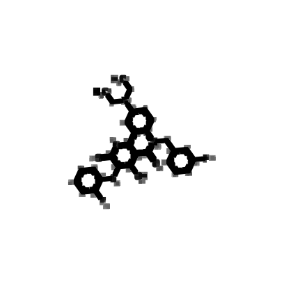 CCN(CC)c1ccc2c(c1)c1oc(=O)c(Sc3ccccc3F)c(O)c1c(=O)n2Cc1cccc(F)c1